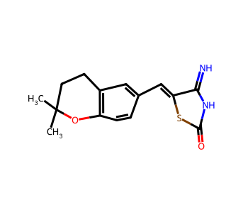 CC1(C)CCc2cc(/C=C3\SC(=O)NC3=N)ccc2O1